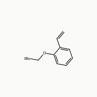 C=Cc1ccccc1OCC(C)(C)C